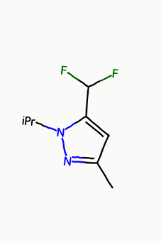 Cc1cc(C(F)F)n(C(C)C)n1